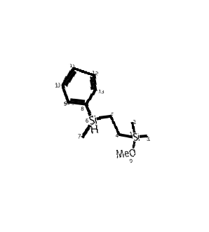 CO[Si](C)(C)CC[SiH](C)c1ccccc1